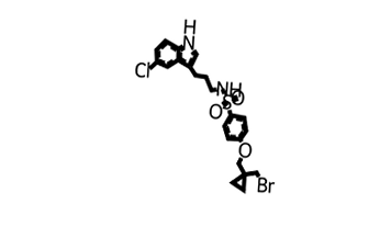 O=S(=O)(NCCCc1c[nH]c2ccc(Cl)cc12)c1ccc(OCC2(CBr)CC2)cc1